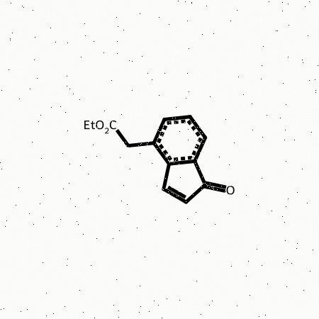 CCOC(=O)Cc1cccc2c1C=CC2=O